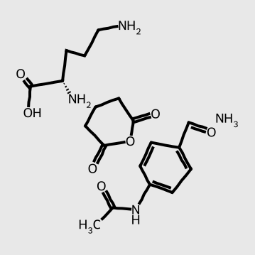 CC(=O)Nc1ccc(C=O)cc1.N.NCCC[C@H](N)C(=O)O.O=C1CCCC(=O)O1